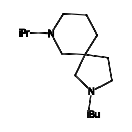 CCC(C)N1CCC2(CCCN(C(C)C)C2)C1